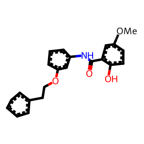 COc1ccc(O)c(C(=O)Nc2cccc(OCCc3ccccc3)c2)c1